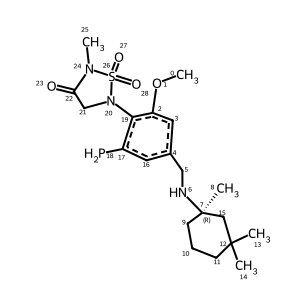 COc1cc(CN[C@]2(C)CCCC(C)(C)C2)cc(P)c1N1CC(=O)N(C)S1(=O)=O